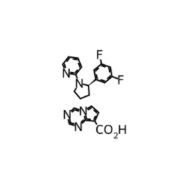 Fc1cc(F)cc([C@H]2CCCN2c2ccccn2)c1.O=C(O)c1ccn2cncnc12